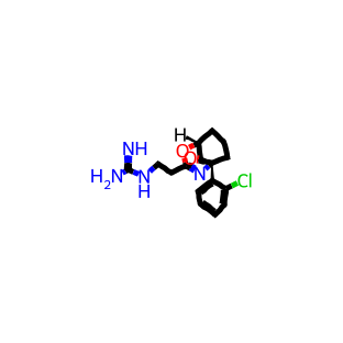 N=C(N)NCCC1=N[C@@]2(c3ccccc3Cl)CCC[C@@H](O1)C2=O